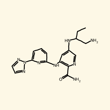 CCC(CN)Nc1cnc(C(N)=O)c(Nc2cccc(-n3nccn3)n2)c1